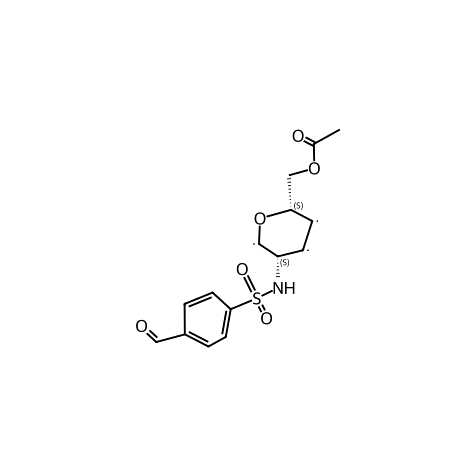 CC(=O)OC[C@@H]1[CH][CH][C@H](NS(=O)(=O)c2ccc(C=O)cc2)[CH]O1